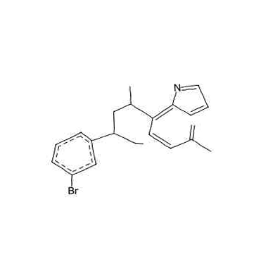 C=C(C)/C=C\C(=C1/C=CC=N1)C(C)CC(CC)c1cccc(Br)c1